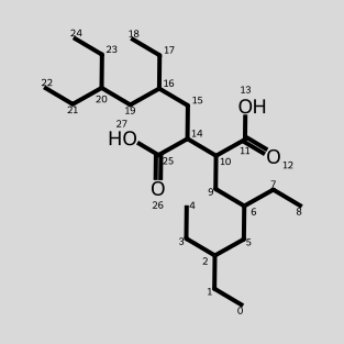 CCC(CC)CC(CC)CC(C(=O)O)C(CC(CC)CC(CC)CC)C(=O)O